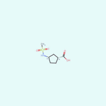 CS(=O)(=O)N[C@@H]1CC[C@@H](C(=O)O)C1